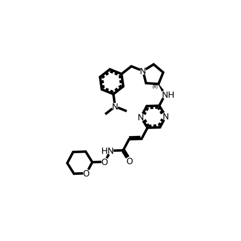 CN(C)c1cccc(CN2CC[C@@H](Nc3cnc(C=CC(=O)NOC4CCCCO4)cn3)C2)c1